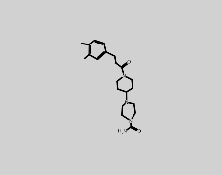 Cc1ccc(C[CH]C(=O)N2CCC(N3CCN(C(N)=O)CC3)CC2)cc1C